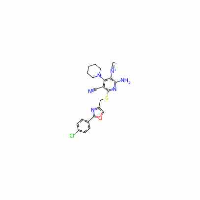 [C-]#[N+]c1c(N)nc(SCc2coc(-c3ccc(Cl)cc3)n2)c(C#N)c1N1CCCCC1